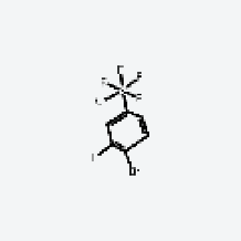 Fc1cc(S(F)(F)(F)(F)Cl)ccc1Br